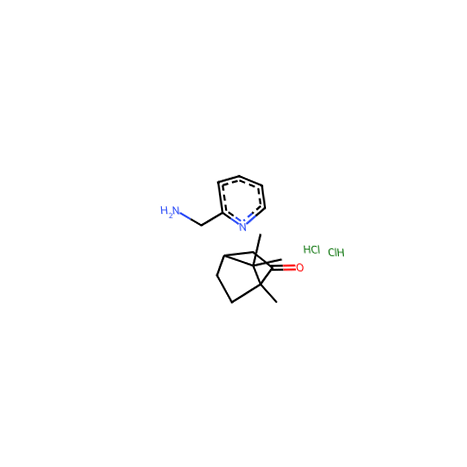 CC12CCC(CC1=O)C2(C)C.Cl.Cl.NCc1ccccn1